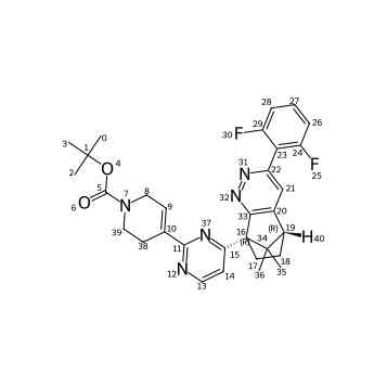 CC(C)(C)OC(=O)N1CC=C(c2nccc([C@]34CC[C@@H](c5cc(-c6c(F)cccc6F)nnc53)C4(C)C)n2)CC1